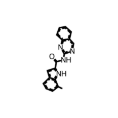 Cc1cccc2cc(C(=O)Nc3ncc4ccccc4n3)[nH]c12